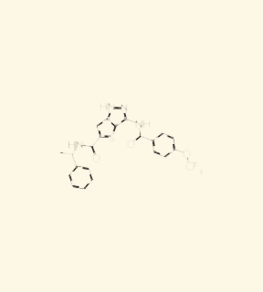 C[C@@H](NC(=O)c1cc2[nH]nc(NC(=O)c3ccc(OC(F)(F)F)cc3)c2s1)c1ccccc1